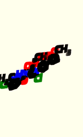 CCOC(=O)c1c(NC(=O)Nc2cccc(Cl)c2C)cc(Cl)n1-c1ccc(-c2cccc(OC)c2O)cc1